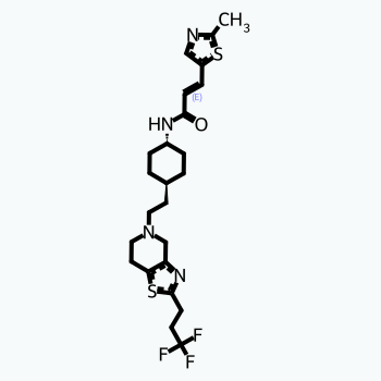 Cc1ncc(/C=C/C(=O)N[C@H]2CC[C@H](CCN3CCc4sc(CCC(F)(F)F)nc4C3)CC2)s1